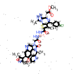 COC(=O)C[C@@H]1N=C(c2ccc(Cl)cc2)c2c(sc(C(=O)NBNC(=O)Cn3c(=O)n([C@H](C)c4ccccn4)c4c5cc(OC)c(-c6c(C)noc6C)cc5ncc43)c2C)-n2c(C)nnc21